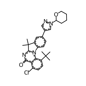 CC(C)(C)c1ccc(Cl)c2c(=O)nc3n(c12)-c1ccc(-c2cnn(C4CCCCO4)c2)cc1C3(C)C